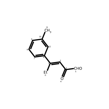 CCC(=CC(=O)C=O)c1cccc(C)c1